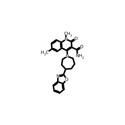 Cc1ccc2c(c1)c(N1CCCC(c3nc4ccccc4o3)CC1)c(C(N)=O)c(=O)n2C